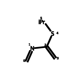 C=NC(=C)SC(C)C